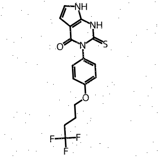 O=c1c2cc[nH]c2[nH]c(=S)n1-c1ccc(OCCCC(F)(F)F)cc1